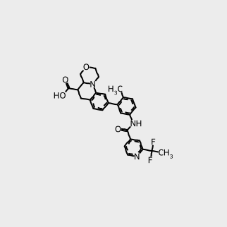 Cc1ccc(NC(=O)c2ccnc(C(C)(F)F)c2)cc1-c1ccc2c(c1)N1CCOCC1C(C(=O)O)C2